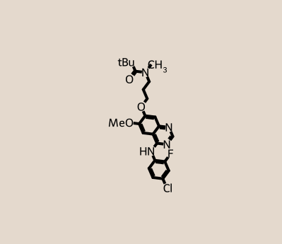 COc1cc2c(Nc3ccc(Cl)cc3F)ncnc2cc1OCCCN(C)C(=O)C(C)(C)C